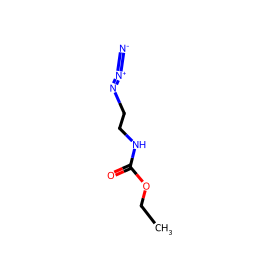 CCOC(=O)NCCN=[N+]=[N-]